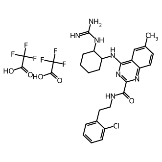 Cc1ccc2nc(C(=O)NCCc3ccccc3Cl)nc(NC3CCCCC3NC(=N)N)c2c1.O=C(O)C(F)(F)F.O=C(O)C(F)(F)F